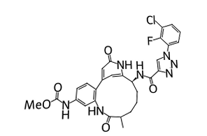 COC(=O)Nc1ccc2c(c1)NC(=O)C(C)CCC[C@H](NC(=O)c1cn(-c3cccc(Cl)c3F)nn1)c1cc-2cc(=O)[nH]1